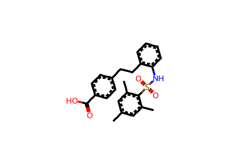 Cc1cc(C)c(S(=O)(=O)Nc2ccccc2CCc2ccc(C(=O)O)cc2)c(C)c1